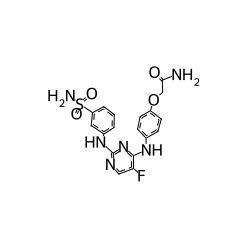 NC(=O)COc1ccc(Nc2nc(Nc3cccc(S(N)(=O)=O)c3)ncc2F)cc1